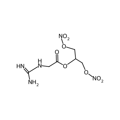 N=C(N)NCC(=O)OC(CO[N+](=O)[O-])CO[N+](=O)[O-]